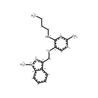 CCCCNc1nc(C)ncc1OCc1nn(C)c2ccccc12